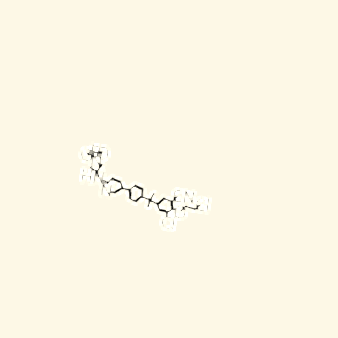 CC(C)(c1ccc(-c2ccc(NC3CN(S(C)(=O)=O)C3)nc2)cc1)c1cc(Cl)c(OCCCl)c(C#N)c1